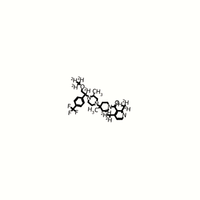 [2H]C([2H])([2H])OC[C@@]([2H])(c1ccc(C(F)(F)F)cc1)N1CCN(C2(C)CCN(C(=O)c3c(C([2H])([2H])[2H])ccnc3C([2H])([2H])[2H])CC2)C[C@@H]1C